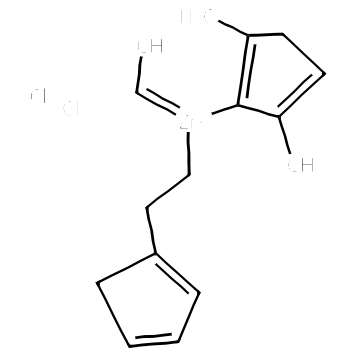 C[CH]=[Zr+2]([CH2]CC1=CC=CC1)[C]1=C(C)CC=C1C.[Cl-].[Cl-]